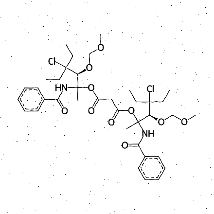 CCC(Cl)(CC)[C@@H](OCOC)C(C)(NC(=O)c1ccccc1)OC(=O)CC(=O)OC(C)(NC(=O)c1ccccc1)[C@H](OCOC)C(Cl)(CC)CC